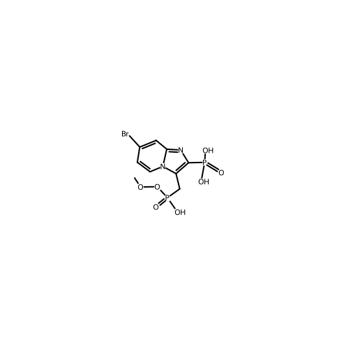 COOP(=O)(O)Cc1c(P(=O)(O)O)nc2cc(Br)ccn12